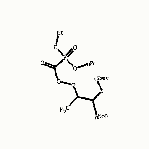 CCCCCCCCCCSC(CCCCCCCCC)C(C)OOC(=O)P(=O)(OCC)OCCC